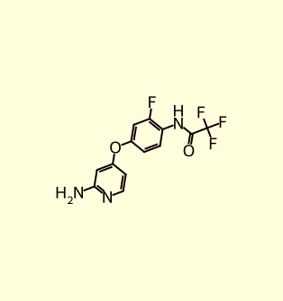 Nc1cc(Oc2ccc(NC(=O)C(F)(F)F)c(F)c2)ccn1